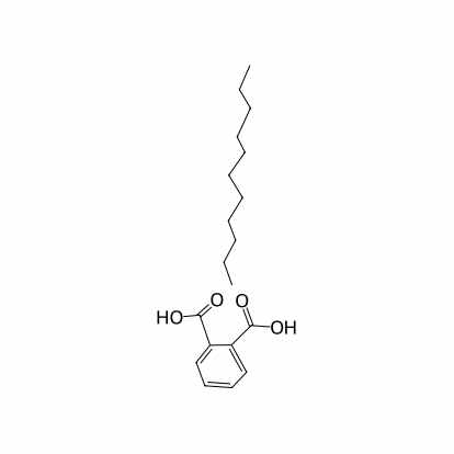 CCCCCCCCCCC.O=C(O)c1ccccc1C(=O)O